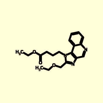 CCOCc1nc2cnc3ccccc3c2n1CCCC(=O)OCC